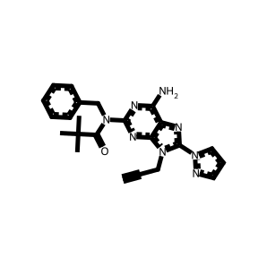 C#CCn1c(-n2cccn2)nc2c(N)nc(N(Cc3ccccc3)C(=O)C(C)(C)C)nc21